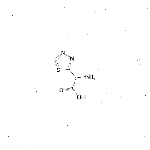 NC(C(=O)O)c1nncs1